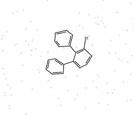 CCc1cccc(-c2ccccc2)c1-c1ccccc1